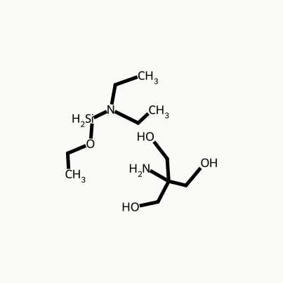 CCO[SiH2]N(CC)CC.NC(CO)(CO)CO